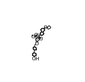 COC(=O)[C@@H]1C[C@H](OCc2ccc(-c3ccc(O)cc3)cc2)CN1S(=O)(=O)c1ccc2cc(OC3CCCC3)ccc2c1